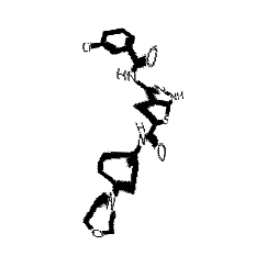 O=C(Nc1n[nH]c2sc(C(=O)Nc3ccc(N4CCOCC4)cc3)cc12)c1cccc(Cl)c1